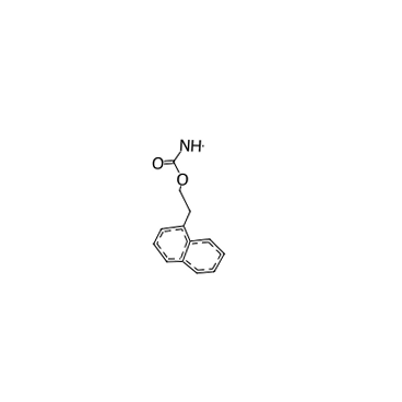 [NH]C(=O)OCCc1cccc2ccccc12